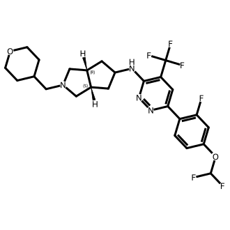 Fc1cc(OC(F)F)ccc1-c1cc(C(F)(F)F)c(NC2C[C@@H]3CN(CC4CCOCC4)C[C@@H]3C2)nn1